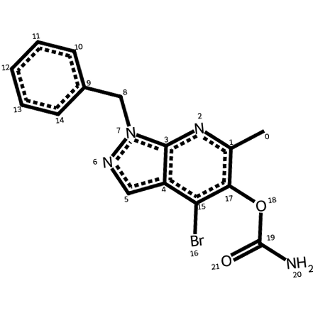 Cc1nc2c(cnn2Cc2ccccc2)c(Br)c1OC(N)=O